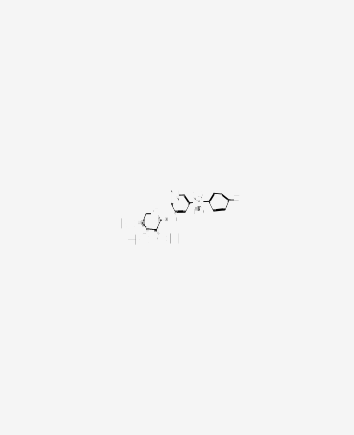 O=S(=O)(c1ccc(F)cc1)c1cncc(O[C@H]2SC[C@@H](O)[C@H](O)[C@H]2O)c1